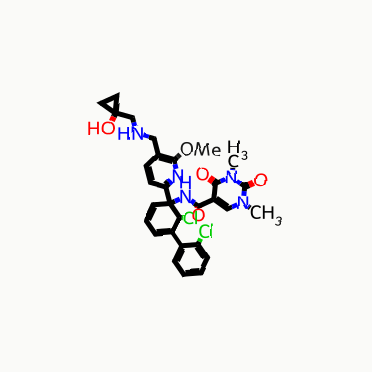 COc1nc(C2(NC(=O)c3cn(C)c(=O)n(C)c3=O)C=CC=C(c3ccccc3Cl)C2Cl)ccc1CNCC1(O)CC1